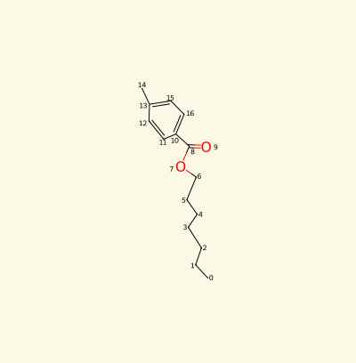 CCCCCCCOC(=O)c1ccc(C)cc1